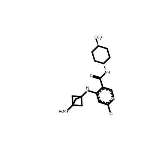 CC(=O)NC12CC(Nc3cc(Cl)ncc3C(=O)N[C@H]3CC[C@H](C(=O)O)CC3)(C1)C2